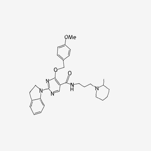 COc1ccc(COc2nc(N3CCc4ccccc43)ncc2C(=O)NCCCN2CCCCC2C)cc1